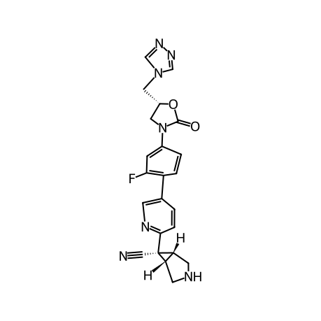 N#C[C@]1(c2ccc(-c3ccc(N4C[C@H](Cn5cnnc5)OC4=O)cc3F)cn2)[C@@H]2CNC[C@@H]21